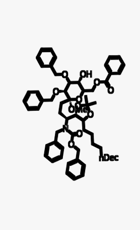 CCCCCCCCCCCCCCC1OC(C)(C)O[C@H]1[C@H](CC[C@]1(OC)OC(COC(=O)c2ccccc2)[C@H](O)C(OCc2ccccc2)[C@@H]1OCc1ccccc1)N(Cc1ccccc1)C(=O)OCc1ccccc1